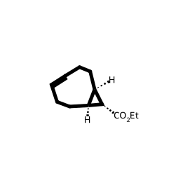 CCOC(=O)[C@H]1[C@@H]2CC/C=C/CC[C@@H]21